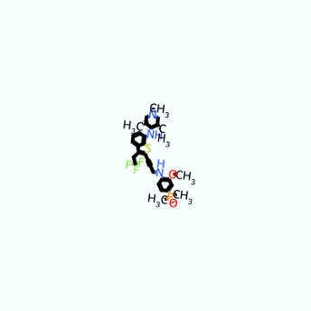 COc1cc(P(C)(C)=O)ccc1NCC#Cc1sc2c(NC3[C@H](C)CN(C)C[C@@H]3C)cccc2c1CC(F)(F)F